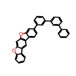 c1ccc(-c2cccc(-c3cccc(-c4ccc5c(c4)oc4cc6oc7ccccc7c6cc45)c3)c2)cc1